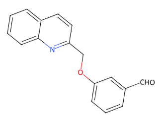 O=Cc1cccc(OCc2ccc3ccccc3n2)c1